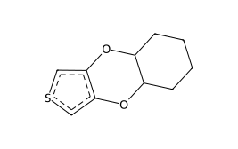 c1scc2c1OC1CCCCC1O2